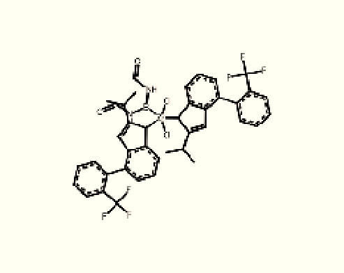 CC(C)C1=Cc2c(-c3ccccc3C(F)(F)F)cccc2[CH]1[Zr]([Cl])([Cl])([B](NC=O)NC=O)[CH]1C(C(C)C)=Cc2c(-c3ccccc3C(F)(F)F)cccc21